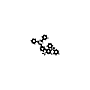 C[Si]1(C)c2ccc(-c3nc(-c4ccccc4)nc(-c4ccccc4)n3)cc2-c2cc3c(cc21)Oc1ccccc1P3(=O)c1ccccc1